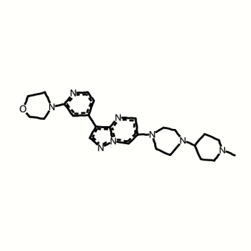 CN1CCC(N2CCN(c3cnc4c(-c5ccnc(N6CCOCC6)c5)cnn4c3)CC2)CC1